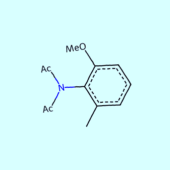 COc1cccc(C)c1N(C(C)=O)C(C)=O